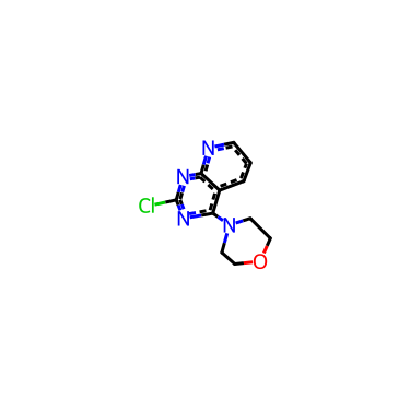 Clc1nc(N2CCOCC2)c2cccnc2n1